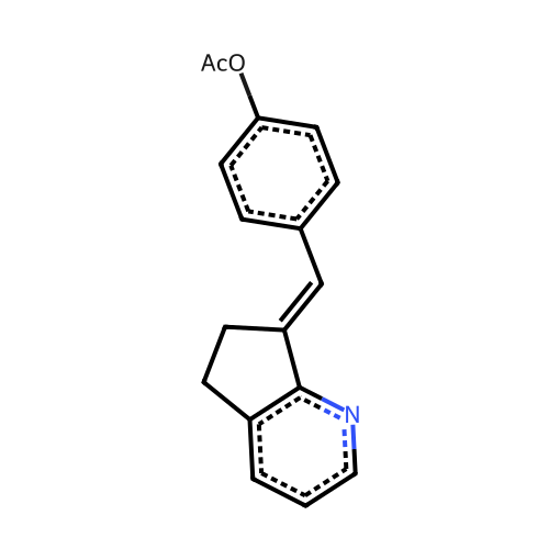 CC(=O)Oc1ccc(C=C2CCc3cccnc32)cc1